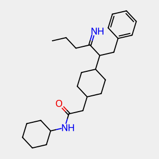 CCCC(=N)C(Cc1ccccc1)C1CCC(CC(=O)NC2CCCCC2)CC1